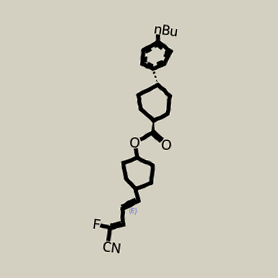 CCCCc1ccc([C@H]2CC[C@H](C(=O)OC3CCC(/C=C/C=C(F)C#N)CC3)CC2)cc1